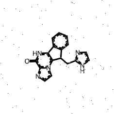 O=c1[nH]c2c(n3ccnc13)C(Cc1ncc[nH]1)c1ccccc1-2